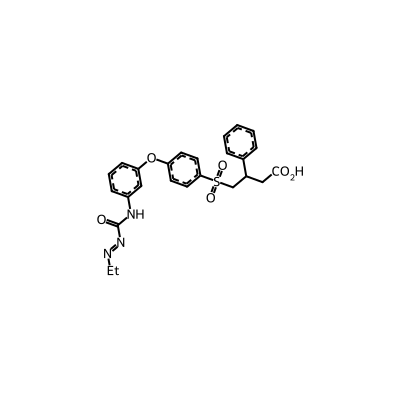 CCN=NC(=O)Nc1cccc(Oc2ccc(S(=O)(=O)CC(CC(=O)O)c3ccccc3)cc2)c1